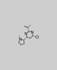 C=C(C)c1nc(Cl)cc(-c2cccn2C)n1